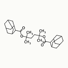 CC(C)(CCC(C)(C)OC(=O)C1C2CC3CC(C2)CC1C3)OC(=O)C1C2CC3CC(C2)CC1C3